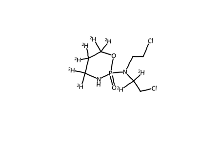 [2H]C([2H])(CCl)N(CCCl)P1(=O)NC([2H])([2H])C([2H])([2H])C([2H])([2H])O1